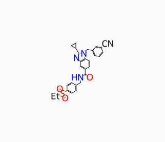 CCS(=O)(=O)c1ccc(CNC(=O)c2ccc3c(c2)nc(C2CC2)n3Cc2cccc(C#N)c2)cc1